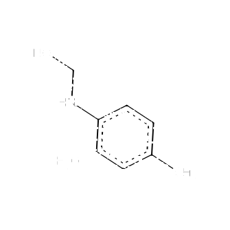 Cc1ccc(NCO)cc1.O